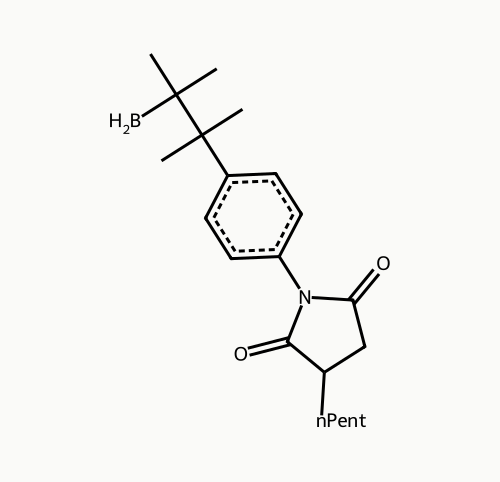 BC(C)(C)C(C)(C)c1ccc(N2C(=O)CC(CCCCC)C2=O)cc1